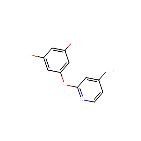 CC(C)(C)c1ccnc(Oc2cc(O)cc(Br)c2)c1